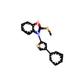 CSc1oc2ccccc2[n+]1-c1cc(-c2ccccc2)cs1